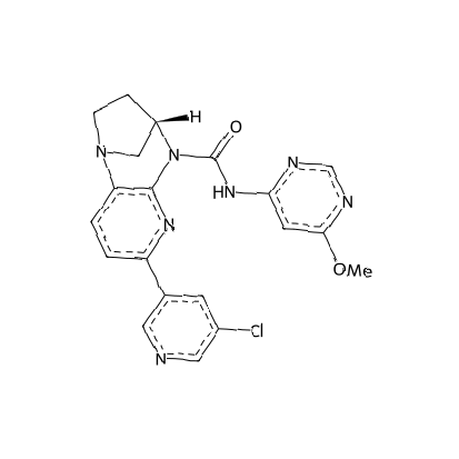 COc1cc(NC(=O)N2c3nc(-c4cncc(Cl)c4)ccc3N3CC[C@H]2C3)ncn1